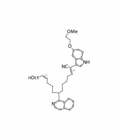 CCCCCCCC/C=C\CCCC(CCCC/C=C(\C#N)c1c[nH]c2ccc(OCCOC)cc12)c1nccc2ccccc12